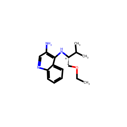 CCOC[C@H](Nc1c(N)cnc2ccccc12)C(C)C